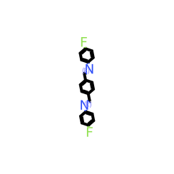 Fc1ccc(/N=C/c2ccc(/C=N/c3ccc(F)cc3)cc2)cc1